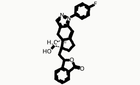 C[C@]12Cc3cnn(-c4ccc(F)cc4)c3C=C1CC[C@@]2(CO)CC1OC(=O)c2ccccc21